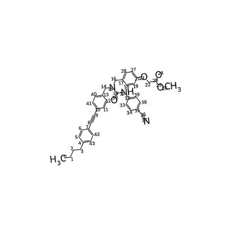 CCCCc1ccc(C#Cc2ccc(CN(Cc3ccc(OCC(=O)OC)cc3)C(=O)Nc3ccc(C#N)cc3)cc2)cc1